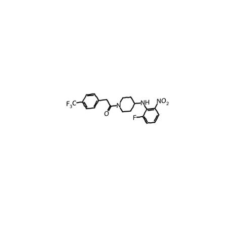 O=C(Cc1ccc(C(F)(F)F)cc1)N1CCC(Nc2c(F)cccc2[N+](=O)[O-])CC1